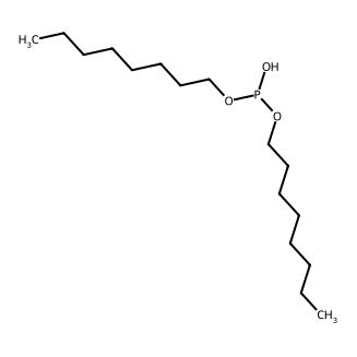 CCCCCCCCOP(O)OCCCCCCCC